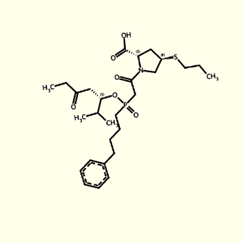 CCCS[C@@H]1C[C@@H](C(=O)O)N(C(=O)CP(=O)(CCCCc2ccccc2)O[C@@H](CC(=O)CC)C(C)C)C1